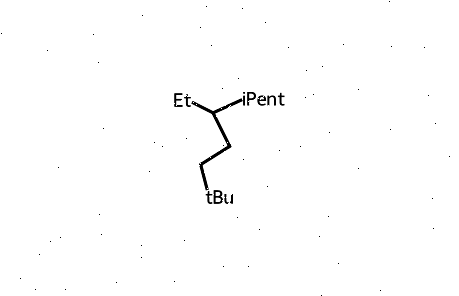 CCCC(C)C(CC)CCC(C)(C)C